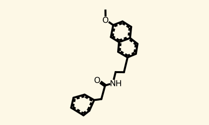 COc1ccc2ccc(CCNC(=O)Cc3ccccc3)cc2c1